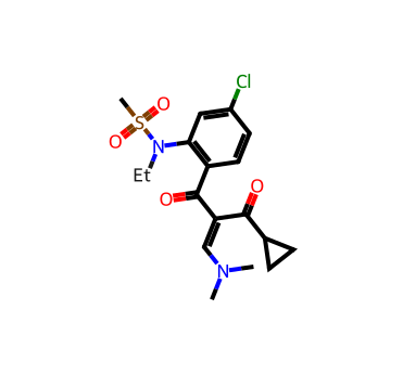 CCN(c1cc(Cl)ccc1C(=O)C(=CN(C)C)C(=O)C1CC1)S(C)(=O)=O